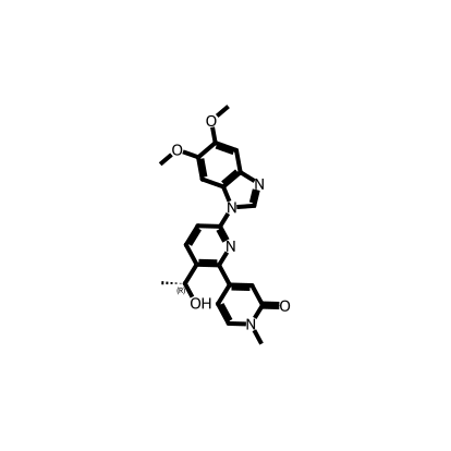 COc1cc2ncn(-c3ccc([C@@H](C)O)c(-c4ccn(C)c(=O)c4)n3)c2cc1OC